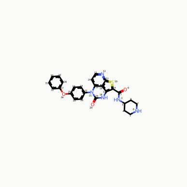 O=C(NC1CCNCC1)c1sc2nccc3c2c1NC(=O)N3c1ccc(Oc2ccccc2)cc1